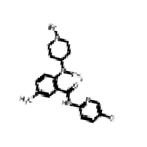 Cc1ccc(N(C)C2CCN(C(C)C)CC2)c(C(=O)Nc2ccc(Cl)cn2)c1